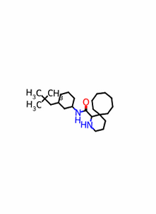 CC(C)(C)CC1CCCC(NC(=O)C2NCCCC23CCCCCCC3)C1